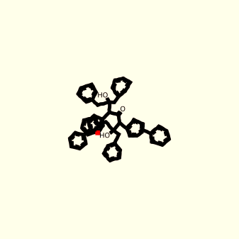 O=C(C(c1ccc(-c2ccccc2)cc1)C(O)(Cc1ccccc1)Cc1ccccc1)C(c1ccc(-c2ccccc2)cc1)C(O)(Cc1ccccc1)Cc1ccccc1